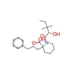 CCC(C)(C)C(O)C(=O)N1CCCCC1(CCCc1ccccc1)C(=O)O